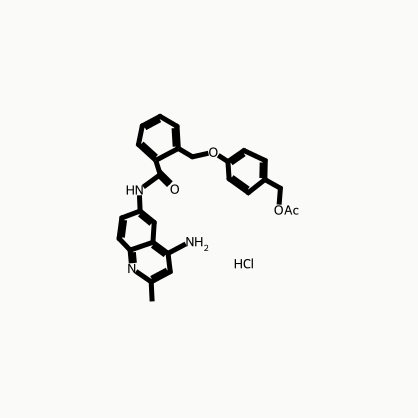 CC(=O)OCc1ccc(OCc2ccccc2C(=O)Nc2ccc3nc(C)cc(N)c3c2)cc1.Cl